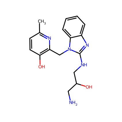 Cc1ccc(O)c(Cn2c(NCC(O)CN)nc3ccccc32)n1